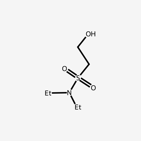 CCN(CC)S(=O)(=O)CCO